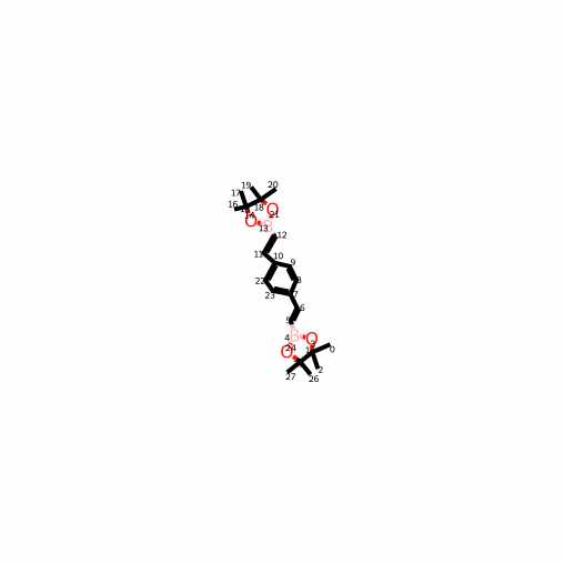 CC1(C)OB(/C=C/c2ccc(/C=C/B3OC(C)(C)C(C)(C)O3)cc2)OC1(C)C